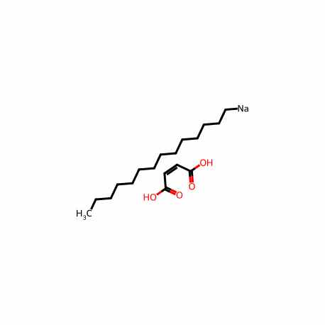 CCCCCCCCCCCCC[CH2][Na].O=C(O)/C=C\C(=O)O